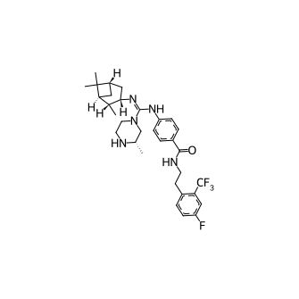 C[C@H]1[C@@H](N=C(Nc2ccc(C(=O)NCCc3ccc(F)cc3C(F)(F)F)cc2)N2CCN[C@@H](C)C2)C[C@@H]2C[C@@H]1C2(C)C